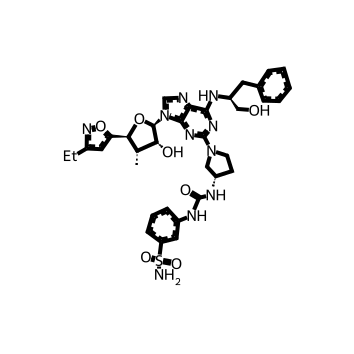 CCc1cc([C@H]2O[C@@H](n3cnc4c(N[C@H](CO)Cc5ccccc5)nc(N5CC[C@H](NC(=O)Nc6cccc(S(N)(=O)=O)c6)C5)nc43)[C@H](O)[C@@H]2C)on1